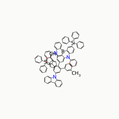 Cc1cccc(-c2cc(-n3c4ccccc4c4ccccc43)cc(-c3cccc(C)c3)c2-c2cc3c4c(c2)N(c2ccccc2)c2ccc([Si](c5ccccc5)(c5ccccc5)c5ccccc5)cc2B4c2ccccc2N3c2cccc([Si](c3ccccc3)(c3ccccc3)c3ccccc3)c2)c1